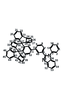 c1ccc(-n2c(-c3cccc(-c4ccc5c(c4)C4(c6ccccc6-c6ccccc64)c4ccccc4C54c5ccccc5-c5ccccc54)c3)nc3ccccc32)cc1